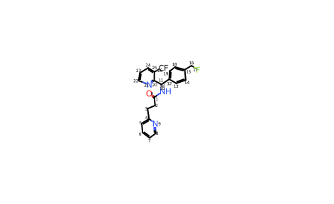 O=C(CCc1ccccn1)N[C@@H](c1ccc(CF)cc1)c1ncccc1C(F)(F)F